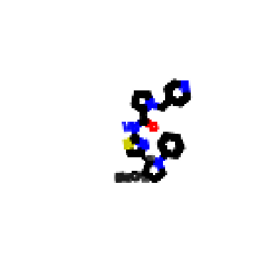 CO[C@@H]1CCN(c2ccccc2)[C@H]1c1csc(NC(=O)c2cccn2Cc2ccncc2)n1